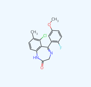 COc1ccc(F)c(C2=NCC(=O)Nc3ccc(C)c(Cl)c32)c1